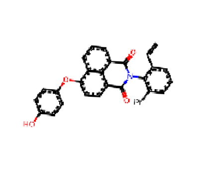 C=Cc1cccc(C(C)C)c1N1C(=O)c2cccc3c(Oc4ccc(O)cc4)ccc(c23)C1=O